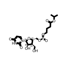 CC(C)OC(=O)CCCO[PH](=O)OC[C@H]1O[C@@H](n2ccc(=O)[nH]c2=O)[C@H](O)[C@@H]1CO